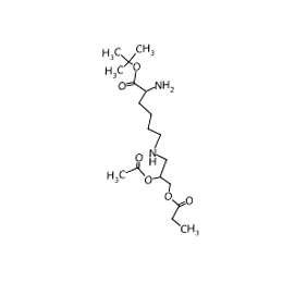 CCC(=O)OCC(CNCCCCC(N)C(=O)OC(C)(C)C)OC(C)=O